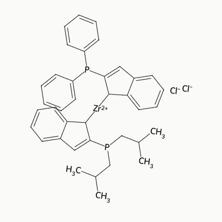 CC(C)CP(CC(C)C)C1=Cc2ccccc2[CH]1[Zr+2][CH]1C(P(c2ccccc2)c2ccccc2)=Cc2ccccc21.[Cl-].[Cl-]